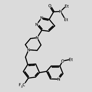 CCOc1cncc(-c2cc(CN3CCN(c4ccc(C(=O)N(CC)CC)nn4)CC3)cc(C(F)(F)F)c2)c1